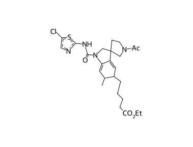 CCOC(=O)CCCCC1C=C2C(=CC1C)N(C(=O)Nc1ncc(Cl)s1)CC21CCN(C(C)=O)C1